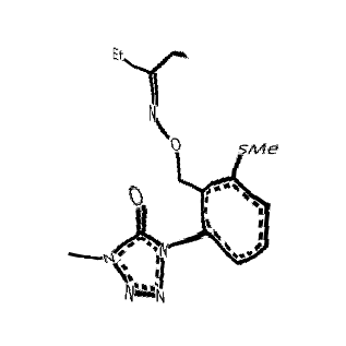 CCC(C)=NOCc1c(SC)cccc1-n1nnn(C)c1=O